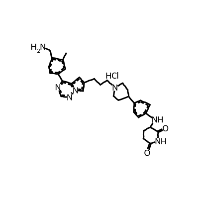 Cc1cc(-c2ncnn3cc(CCCN4CCC(c5ccc(NC6CCC(=O)NC6=O)cc5)CC4)cc23)ccc1CN.Cl